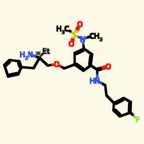 CC[C@](N)(COCc1cc(C(=O)NCCc2ccc(F)cc2)cc(N(C)S(C)(=O)=O)c1)Cc1ccccc1